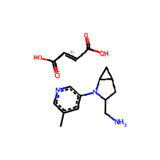 Cc1cncc(N2C(CN)CC3CC32)c1.O=C(O)/C=C/C(=O)O